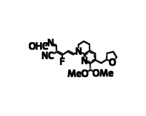 COC(OC)c1nc2c(cc1CC1CCCO1)CCCN2/C=C/C(F)=C(C#N)\C=N/C=O